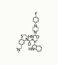 C[C@@H](c1c[nH]c2ccccc12)[C@@H](NC(=O)N1CCN(c2ccc(F)cc2)CC1)C(=O)N1CCSc2ccc(CN(C)C)cc21